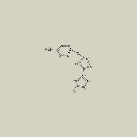 CSc1ccc(Cc2ccc(-c3ncc(Cl)s3)[nH]2)nc1